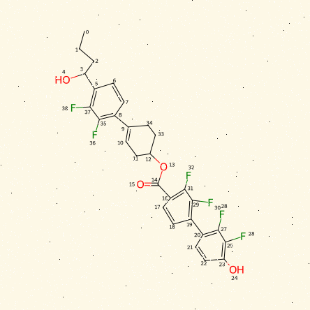 CCCC(O)c1ccc(C2=CCC(OC(=O)c3ccc(-c4ccc(O)c(F)c4F)c(F)c3F)CC2)c(F)c1F